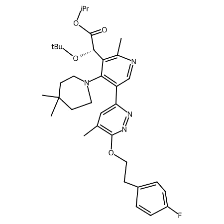 Cc1cc(-c2cnc(C)c([C@H](OC(C)(C)C)C(=O)OC(C)C)c2N2CCC(C)(C)CC2)nnc1OCCc1ccc(F)cc1